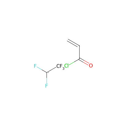 C=CC(=O)Cl.F[C](F)C(F)(F)F